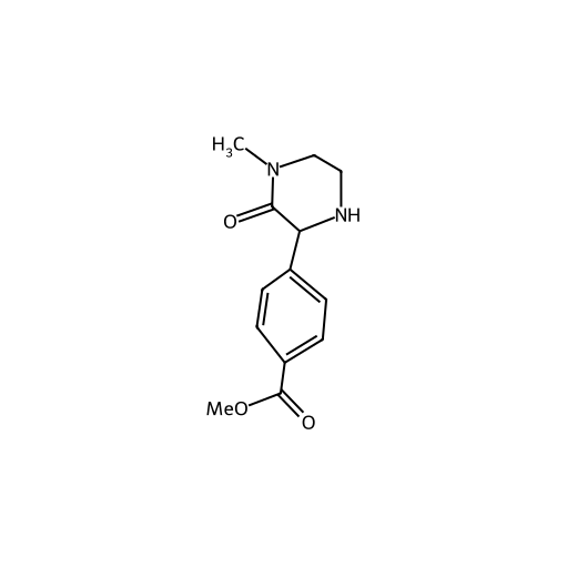 COC(=O)c1ccc(C2NCCN(C)C2=O)cc1